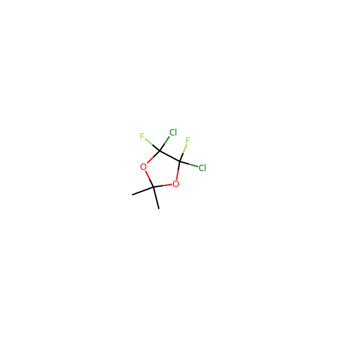 CC1(C)OC(F)(Cl)C(F)(Cl)O1